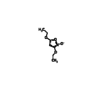 CCOc1cc(OCC)[n+]([O-])o1